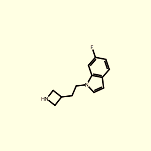 Fc1ccc2ccn(CCC3CNC3)c2c1